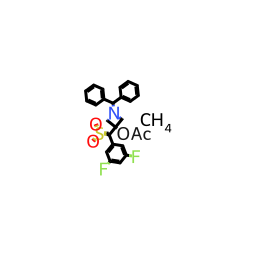 C.CC(=O)OC1(C(c2cc(F)cc(F)c2)=S(=O)=O)CN(C(c2ccccc2)c2ccccc2)C1